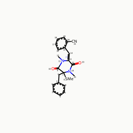 CSC1(Cc2ccccc2)C(=O)N(C)/C(=C\c2ccccc2C#N)C(=O)N1C